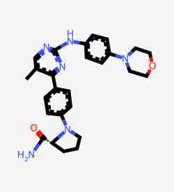 Cc1cnc(Nc2ccc(N3CCOCC3)cc2)nc1-c1ccc(N2CCC[C@@H]2C(N)=O)cc1